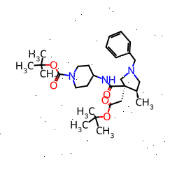 C[C@@H]1CN(Cc2ccccc2)C[C@]1(CC(=O)OC(C)(C)C)C(=O)NC1CCN(C(=O)OC(C)(C)C)CC1